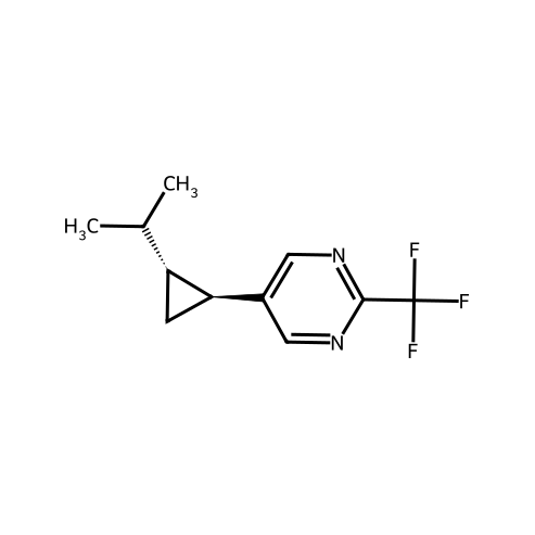 CC(C)[C@H]1C[C@@H]1c1cnc(C(F)(F)F)nc1